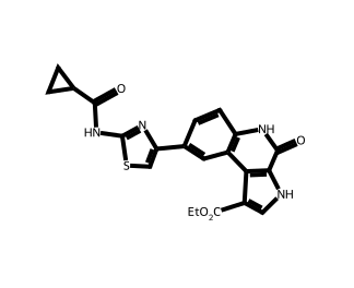 CCOC(=O)c1c[nH]c2c(=O)[nH]c3ccc(-c4csc(NC(=O)C5CC5)n4)cc3c12